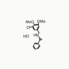 COc1cc(CNC2CC2c2ccccc2)cc(Cl)c1OC.Cl